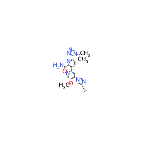 COc1cnc(-c2ccc(-c3nncn3C(C)C)nc2C(N)=O)cc1-n1cnc(C2CC2)c1